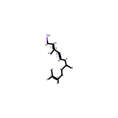 CC(C)=C(C)CCC(C)C/C=C/C(C)=C/CI